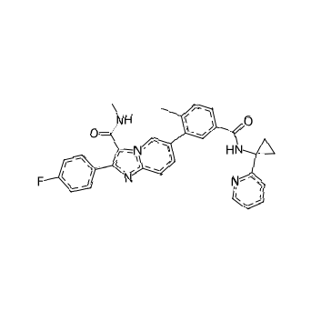 CNC(=O)c1c(-c2ccc(F)cc2)nc2ccc(-c3cc(C(=O)NC4(c5ccccn5)CC4)ccc3C)cn12